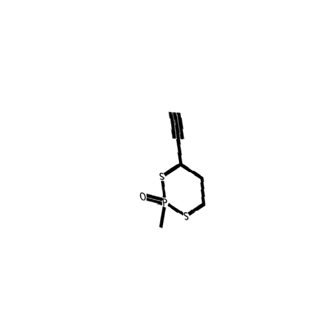 C#CC1CCSP(C)(=O)S1